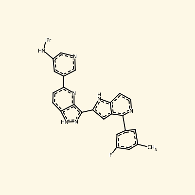 Cc1cc(F)cc(-c2nccc3[nH]c(-c4n[nH]c5ccc(-c6cncc(NC(C)C)c6)nc45)cc23)c1